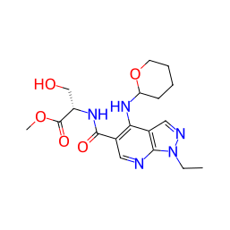 CCn1ncc2c(NC3CCCCO3)c(C(=O)N[C@@H](CO)C(=O)OC)cnc21